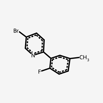 Cc1ccc(F)c(-c2ccc(Br)cn2)c1